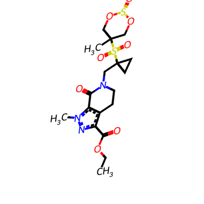 CCOC(=O)c1nn(C)c2c1CCN(CC1(S(=O)(=O)C3(C)COS(=O)OC3)CC1)C2=O